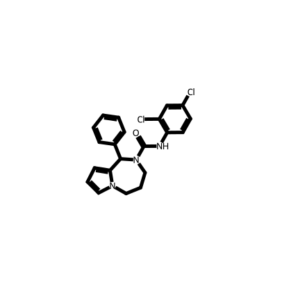 O=C(Nc1ccc(Cl)cc1Cl)N1CCCn2cccc2C1c1ccccc1